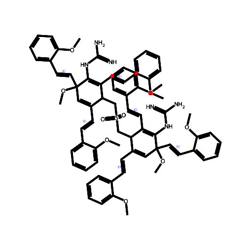 COc1ccccc1/C=C/C1=CC(/C=C/c2ccccc2OC)(OC)C(NC(=N)N)=C(/C=C/c2ccccc2OC)C1CS(=O)(=O)CC1C(/C=C/c2ccccc2OC)=CC(/C=C/c2ccccc2OC)(OC)C(NC(=N)N)=C1/C=C/c1ccccc1OC